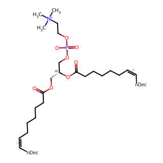 CCCCCCCCCC/C=C\CCCCCC(=O)OC[C@H](COP(=O)([O-])OCC[N+](C)(C)C)OC(=O)CCCCC/C=C\CCCCCCCCCC